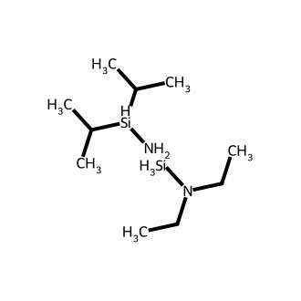 CC(C)[SiH](N)C(C)C.CCN([SiH3])CC